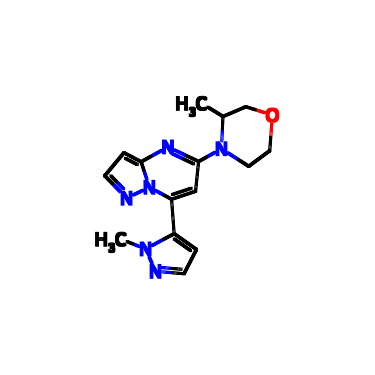 CC1COCCN1c1cc(-c2ccnn2C)n2nccc2n1